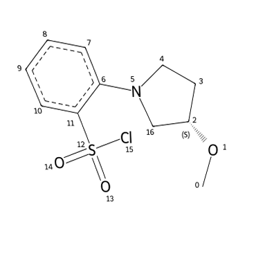 CO[C@H]1CCN(c2ccccc2S(=O)(=O)Cl)C1